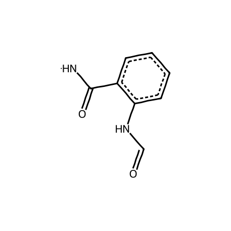 [NH]C(=O)c1ccccc1NC=O